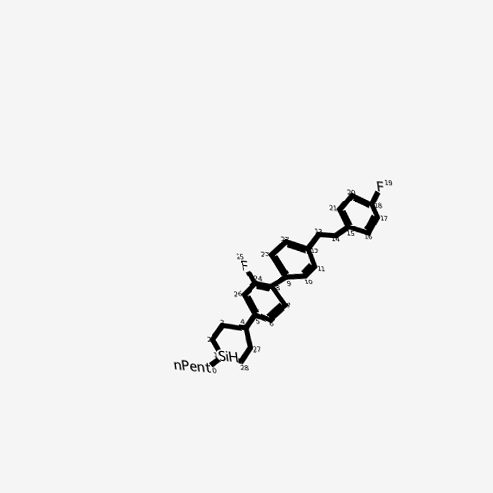 CCCCC[SiH]1CCC(c2ccc(-c3ccc(CCc4ccc(F)cc4)cc3)c(F)c2)CC1